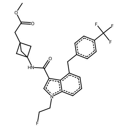 COC(=O)CC12CC(NC(=O)c3cn(CCF)c4cccc(Cc5ccc(C(F)(F)F)cc5)c34)(C1)C2